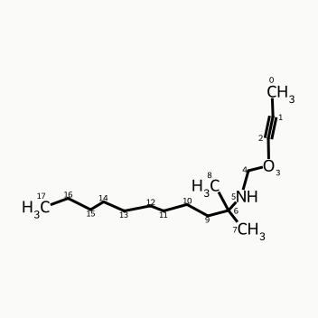 CC#COCNC(C)(C)CCCCCCCCC